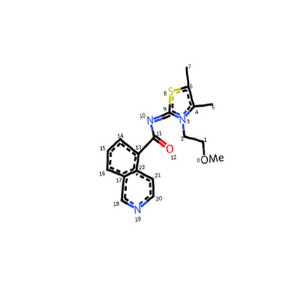 COCCn1c(C)c(C)sc1=NC(=O)c1cccc2cnccc12